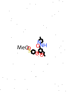 COOSc1ccc(Oc2cc(C(=O)Nc3ccc(C)cn3)cc3cc(C)oc23)cc1